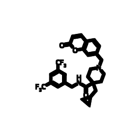 O=C(NCc1cc(C(F)(F)F)cc(C(F)(F)F)c1)C1(CC2CC2)CCN(Cc2ccc3ccc(=O)oc3c2)CC1